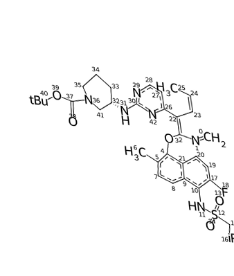 C=N/C(Oc1c(C)ccc2c(NS(=O)(=O)CC(C)C)c(F)ccc12)=C(\C=C/C)c1ccnc(N[C@H]2CCCN(C(=O)OC(C)(C)C)C2)n1